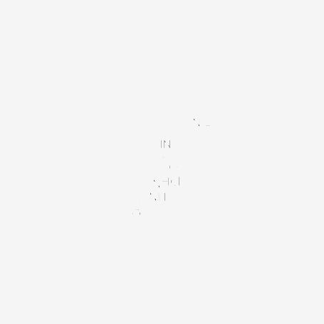 CCN1CCCC1CNC(=O)Cc1n[nH]c(=O)c2c1CCCC2.Cl